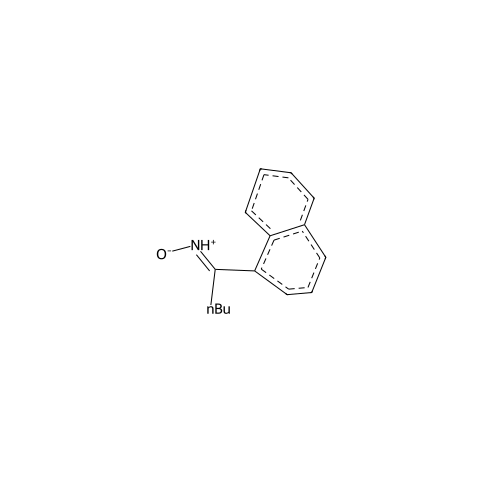 CCCCC(=[NH+][O-])c1cccc2ccccc12